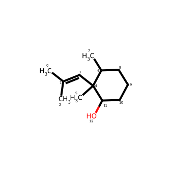 CC(C)=CC1(C)C(C)CCCC1O